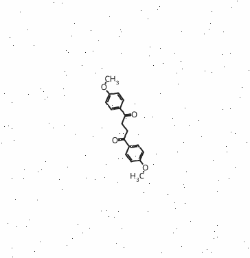 COc1ccc(C(=O)CCC(=O)c2ccc(OC)cc2)cc1